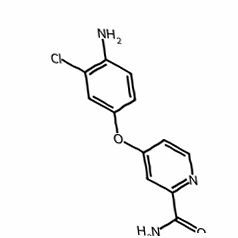 NC(=O)c1cc(Oc2ccc(N)c(Cl)c2)ccn1